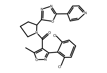 Cc1onc(-c2c(Cl)cccc2Cl)c1C(=O)N1CCCC1c1nnc(-c2ccncc2)o1